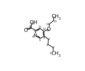 CCCCc1cnc(C(=O)O)cc1OCCC